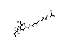 CCC(=O)O[SH](CCCCCCCCCCCCCC(C)C)OC(=O)CC